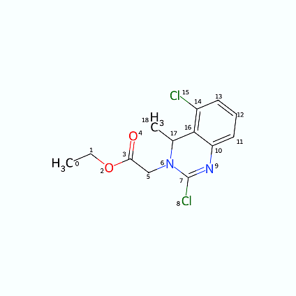 CCOC(=O)CN1C(Cl)=Nc2cccc(Cl)c2C1C